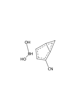 N#Cc1ccc2cc1-2.OBO